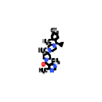 Cc1ncnc(C)c1C(=O)N1CCC(C)(N2CCN(C(c3ccc(C(F)(F)F)cc3)C3CC3)[C@@H](C)C2)CC1